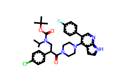 CC(C)N(CC(C(=O)N1CCN(c2c(-c3ccc(F)cc3)cnc3[nH]ccc23)CC1)c1ccc(Cl)cc1)C(=O)OC(C)(C)C